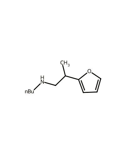 CCCCNCC(C)c1ccco1